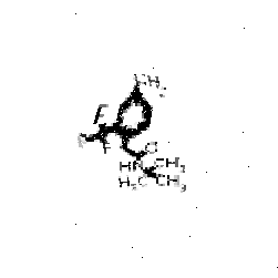 Cc1ccc(CC(=O)NC(C)(C)C)c(C(F)(F)F)c1